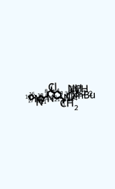 C=C(c1ccc2c(Cl)cc(-c3cnn(C4CCC4)c3)nc2c1)N1CCN(C(=C)CCCC)C(N)C1